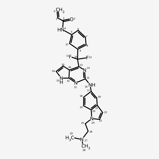 C=CC(=O)Nc1cccc(C(F)(F)c2nc(Nc3ccc4c(ccn4CCN(C)C)c3)nc3[nH]ccc23)c1